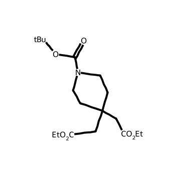 CCOC(=O)CC1(CC(=O)OCC)CCN(C(=O)OC(C)(C)C)CC1